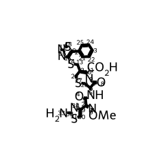 CON=C(C(=O)NC1C(=O)N2C(C(=O)O)=C(CSc3nnsc3-c3ccccc3)CSC12)c1csc(N)n1